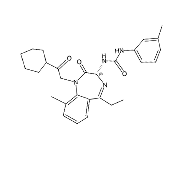 CCC1=N[C@@H](NC(=O)Nc2cccc(C)c2)C(=O)N(CC(=O)C2CCCCC2)c2c(C)cccc21